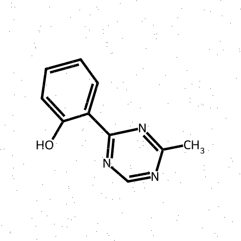 Cc1ncnc(-c2ccccc2O)n1